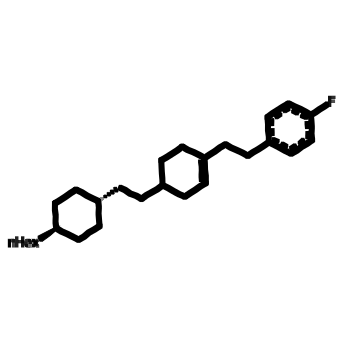 CCCCCC[C@H]1CC[C@H](CCC2CC=C(CCc3ccc(F)cc3)CC2)CC1